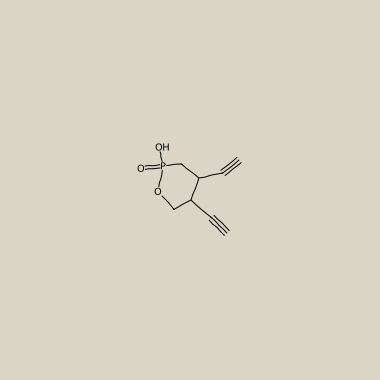 C#CC1COP(=O)(O)CC1C#C